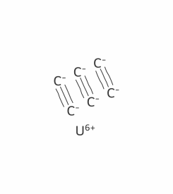 [C-]#[C-].[C-]#[C-].[C-]#[C-].[U+6]